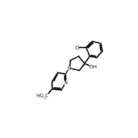 O=C(O)c1ccc(N2CCC(O)(c3ccccc3Cl)C2)nc1